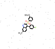 COc1cccc(S(=O)(=O)c2cnc3cc(C)ccc3c2-c2ccc(F)cc2)c1